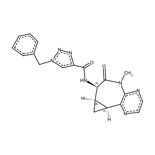 CN1C(=O)[C@H](NC(=O)c2cn(Cc3ccccc3)nn2)[C@@H]2C[C@@H]2c2nccnc21